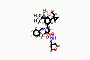 Cc1c(S(=O)(=O)NCC2CCOCC2)cc(-c2cc(C(C)(C)C)c3c(c2)C2(CCO3)CC2)n1CC1CCCCC1